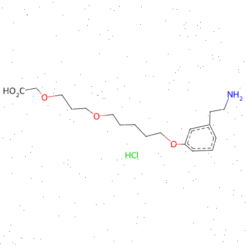 Cl.NCCc1cccc(OCCCCCOCCCOCC(=O)O)c1